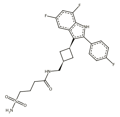 NS(=O)(=O)CCCC(=O)NC[C@H]1C[C@@H](c2c(-c3ccc(F)cc3)[nH]c3c(F)cc(F)cc32)C1